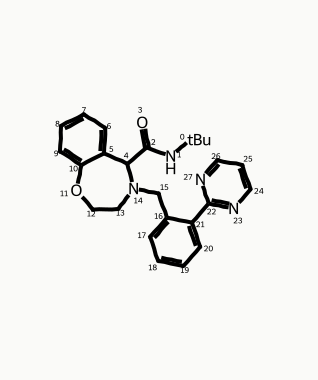 CC(C)(C)NC(=O)C1c2ccccc2OCCN1Cc1ccccc1-c1ncccn1